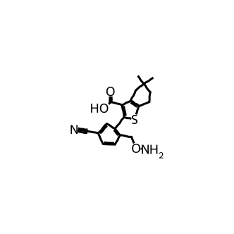 CC1(C)CCc2sc(-c3cc(C#N)ccc3CON)c(C(=O)O)c2C1